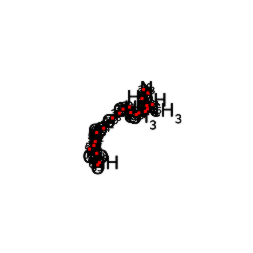 C[C@@H](NC(=O)c1cccc(NC2(c3nnc(-c4ccncc4)[nH]3)CCN(C)CC2)c1)c1cccc(OCCCCCOCCCOCC(=O)N2CCN(c3ccc4c(c3)CN(C3CCC(=O)NC3=O)C4=O)CC2)c1